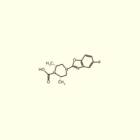 C[C@@H]1CN(c2nc3cc(F)ccc3o2)C[C@H](C)N1C(=O)O